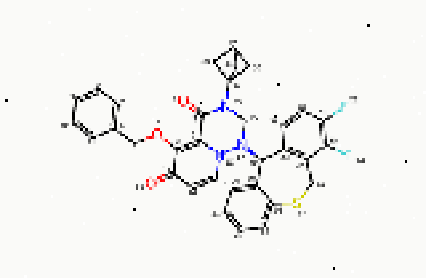 O=C1c2c(OCc3ccccc3)c(=O)ccn2N([C@@H]2c3ccccc3SCc3c2ccc(F)c3F)CN1C12CC(C1)C2